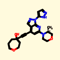 C[C@@H]1COCCN1c1cc(C#CC2(O)CCCOCC2)c2cnn(-c3ccn[nH]3)c2n1